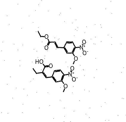 CCC(=Cc1ccc([N+](=O)[O-])c(OC)c1)C(=O)O.CCOC(=O)C=Cc1ccc([N+](=O)[O-])c(OC)c1